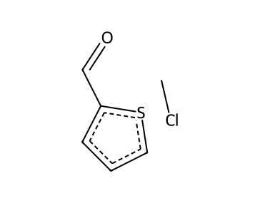 CCl.O=Cc1cccs1